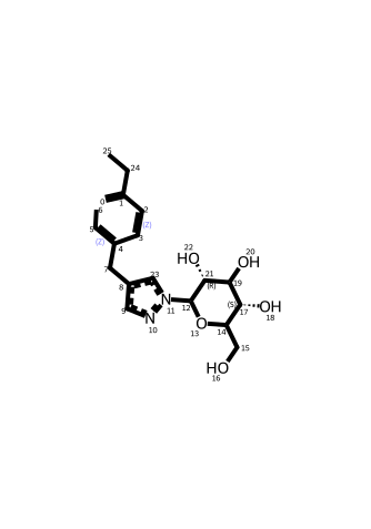 C=C(/C=C\C(=C/C)Cc1cnn(C2OC(CO)[C@@H](O)C(O)[C@H]2O)c1)CC